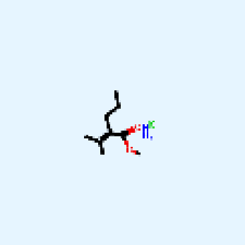 CCCC(C(=O)OC)=C(C)C.Cl.N